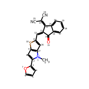 Cn1c(-c2ccco2)cc2sc(/C=C3\C(=O)c4ccccc4C3=C(C#N)C#N)cc21